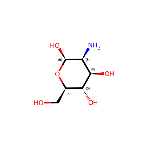 N[C@H]1[C@@H](O)[C@H](O)[C@@H](CO)O[C@H]1O